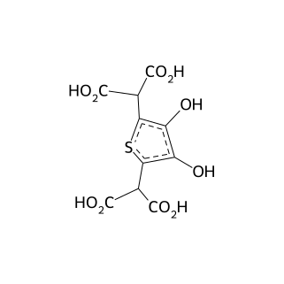 O=C(O)C(C(=O)O)c1sc(C(C(=O)O)C(=O)O)c(O)c1O